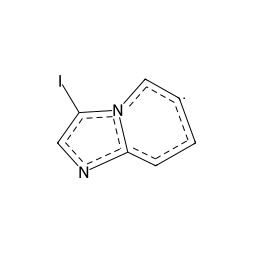 Ic1cnc2cc[c]cn12